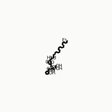 CC/C=C\C/C=C\C/C=C\C/C=C\C/C=C\C/C=C\CCC(=O)NCCN1C(=O)CC(SC[C@H](NC(=O)c2ccccc2O)C(=O)OC(CO)CO)C1=O